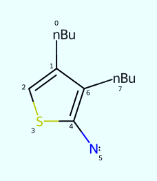 CCCCc1csc([N])c1CCCC